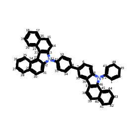 C1=CC(n2c3ccc(-c4ccc(-n5c6ccc7ccccc7c6c6c7ccccc7ccc65)cc4)cc3c3ccc4ccccc4c32)=CCC1